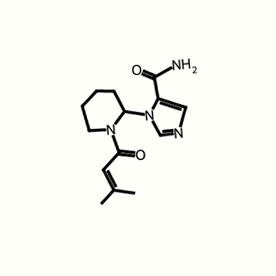 CC(C)=CC(=O)N1CCCCC1n1cncc1C(N)=O